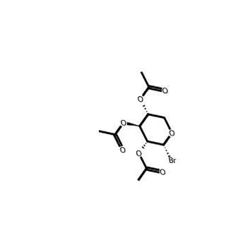 CC(=O)O[C@@H]1[C@@H](OC(C)=O)[C@H](OC(C)=O)CO[C@@H]1Br